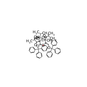 CC(C)C(=O)[C@]1(O)[C@@](O)(C(=O)C(C)C)[C@@H](COC(c2ccccc2)(c2ccccc2)c2ccccc2)O[C@H](OC(c2ccccc2)(c2ccccc2)c2ccccc2)[C@@]1(O)C(=O)C(C)C